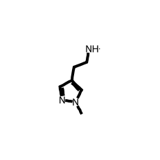 Cn1cc(CC[NH])cn1